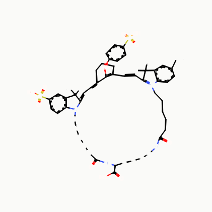 Cc1ccc2c(c1)C(C)(C)C1=[N+]2CCCCCC(=O)NCCCCC(C(=O)O)NC(=O)CCCCCN2/C(=C/C=C3\CCCC(=C3Oc3ccc(S(=O)(=O)O)cc3)/C=C/1)C(C)(C)c1cc(S(=O)(=O)O)ccc12